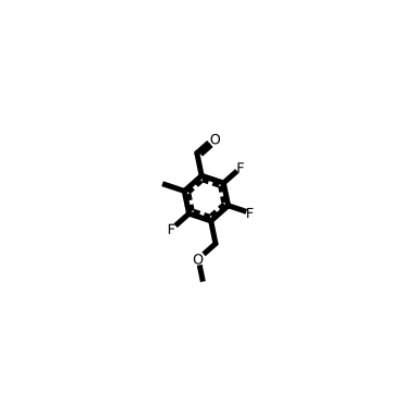 COCc1c(F)c(C)c(C=O)c(F)c1F